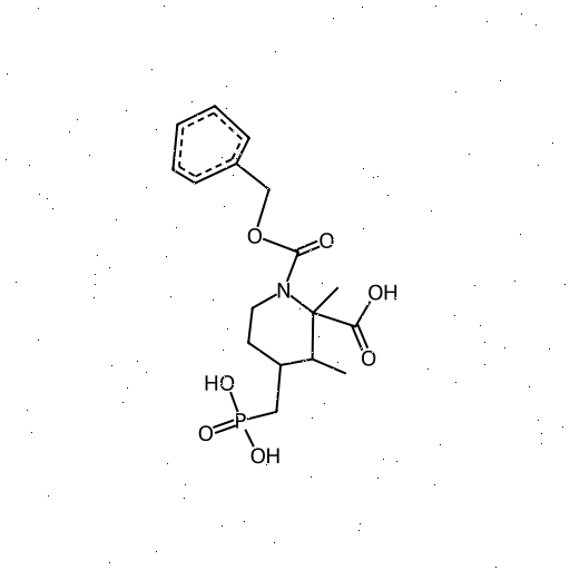 CC1C(CP(=O)(O)O)CCN(C(=O)OCc2ccccc2)C1(C)C(=O)O